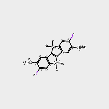 COc1cc2c(cc1I)[Si](C)(C)C1=C2[Si](C)(C)c2cc(I)c(OC)cc21